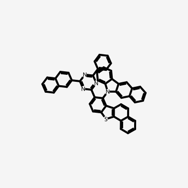 c1ccc(-c2nc(-c3ccc4ccccc4c3)nc(-c3ccc4sc5c6ccccc6ccc5c4c3-n3c4ccccc4c4cc5ccccc5cc43)n2)cc1